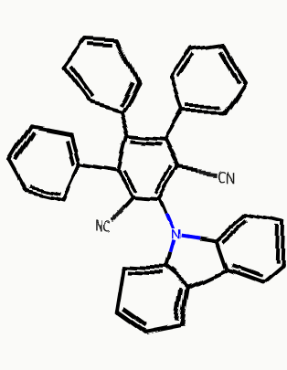 N#Cc1c(-c2ccccc2)c(-c2ccccc2)c(-c2ccccc2)c(C#N)c1-n1c2ccccc2c2ccccc21